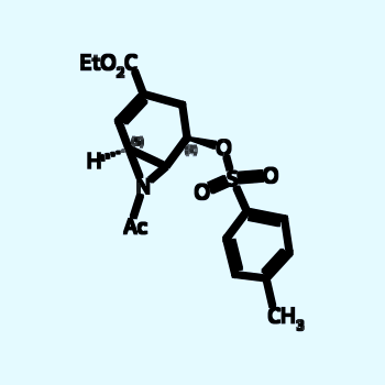 CCOC(=O)C1=C[C@H]2C([C@H](OS(=O)(=O)c3ccc(C)cc3)C1)N2C(C)=O